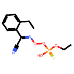 CCOP(O)(=S)OON=C(C#N)c1ccccc1CC